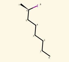 CCCCCC[C@@H](C)I